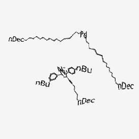 CCCCCCCCCCCCCCC#CC1=C(c2ccc(CCCC)cc2)[N+](=[N-])C(c2cccc(CCCC)c2)=C1.CCCCCCCCCCCCCCCCCCCCCCCCC[CH2][Pd][CH2]CCCCCCCCCCCCCCCCCCCCCCCCC